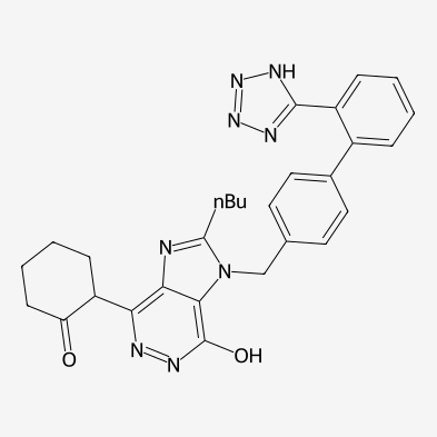 CCCCc1nc2c(C3CCCCC3=O)nnc(O)c2n1Cc1ccc(-c2ccccc2-c2nnn[nH]2)cc1